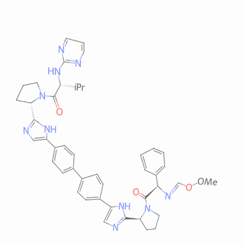 COO/C=N/[C@@H](C(=O)N1CCC[C@H]1c1ncc(-c2ccc(-c3ccc(-c4cnc([C@@H]5CCCN5C(=O)[C@H](Nc5ncccn5)C(C)C)[nH]4)cc3)cc2)[nH]1)c1ccccc1